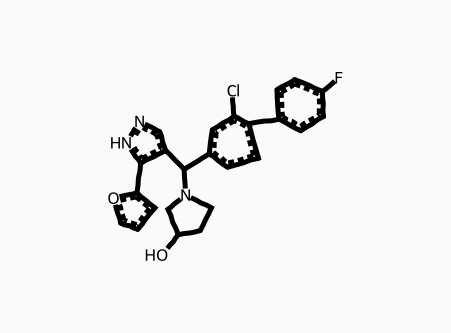 OC1CCN(C(c2ccc(-c3ccc(F)cc3)c(Cl)c2)c2cn[nH]c2-c2ccco2)C1